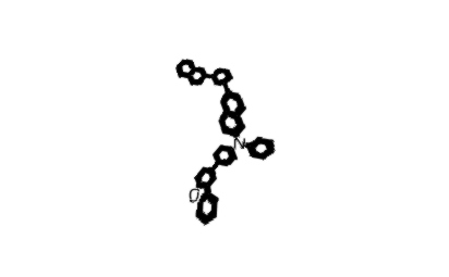 c1ccc(N(c2ccc(-c3ccc4oc5ccccc5c4c3)cc2)c2ccc3cc(-c4cccc(-c5ccc6ccccc6c5)c4)ccc3c2)cc1